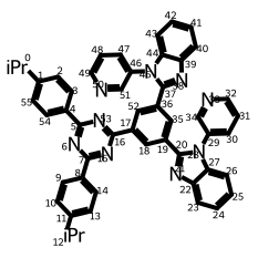 CC(C)c1ccc(-c2nc(-c3ccc(C(C)C)cc3)nc(-c3cc(-c4nc5ccccc5n4-c4cccnc4)cc(-c4nc5ccccc5n4-c4cccnc4)c3)n2)cc1